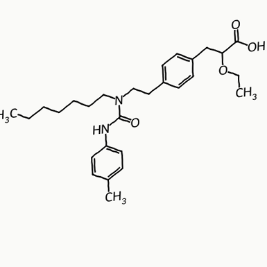 CCCCCCCN(CCc1ccc(CC(OCC)C(=O)O)cc1)C(=O)Nc1ccc(C)cc1